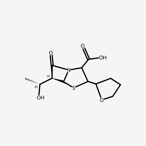 C[C@@H](O)[C@H]1C(=O)N2C(C(=O)O)C(C3CCCO3)SC12